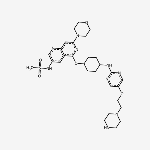 CS(=O)(=O)Nc1cnc2cc(N3CCOCC3)nc(OC3CCC(Nc4ncc(OCCN5CCNCC5)cn4)CC3)c2c1